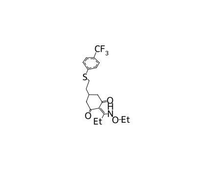 CCONC(CC)=C1C(=O)CC(CCSc2ccc(C(F)(F)F)cc2)CC1=O